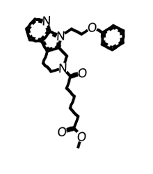 COC(=O)CCCCC(=O)N1CCc2c(n(CCOc3ccccc3)c3ncccc23)C1